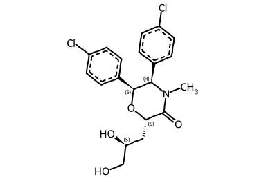 CN1C(=O)[C@H](C[C@H](O)CO)O[C@@H](c2ccc(Cl)cc2)[C@H]1c1ccc(Cl)cc1